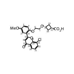 COc1ccc(OCCO[C@H]2C[C@H](C(=O)O)C2)c(-c2cc(=O)c3cccc(Cl)c3o2)c1